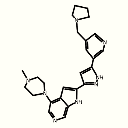 CN1CCN(c2cncc3[nH]c(-c4cc(-c5cncc(CN6CCCC6)c5)[nH]n4)cc23)CC1